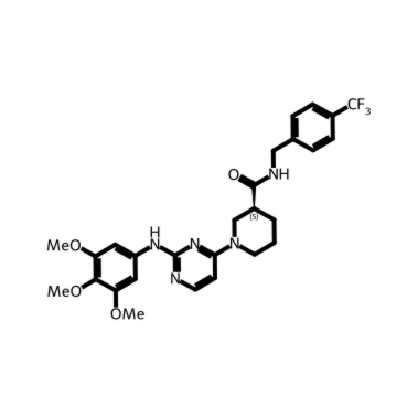 COc1cc(Nc2nccc(N3CCC[C@H](C(=O)NCc4ccc(C(F)(F)F)cc4)C3)n2)cc(OC)c1OC